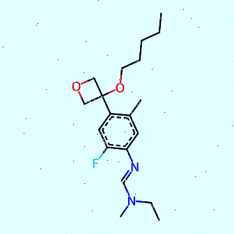 CCCCCOC1(c2cc(F)c(N=CN(C)CC)cc2C)COC1